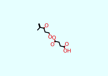 C=C(C)C(=O)CCOOC(=O)CCC(=O)O